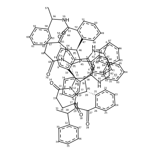 CC(NC(=O)c1ccccc1[C@@H]1N2C(=O)CCC(=O)N2[C@@H](c2ccccc2C(=O)NC(C)c2ccccc2)P1c1ccccc1P1[C@H](c2ccccc2C(=O)NC(C)c2ccccc2)N2C(=O)CCC(=O)N2[C@H]1c1ccccc1C(=O)N[C@@H](C)c1ccccc1)c1ccccc1